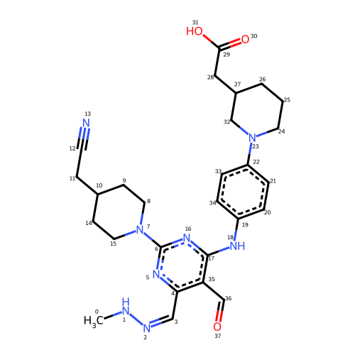 CN/N=C\c1nc(N2CCC(CC#N)CC2)nc(Nc2ccc(N3CCCC(CC(=O)O)C3)cc2)c1C=O